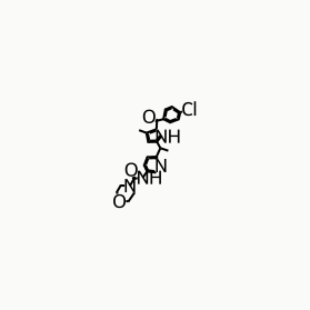 Cc1cc(C(C)c2ccc(NC(=O)N3CCOCC3)cn2)[nH]c1C(=O)c1ccc(Cl)cc1